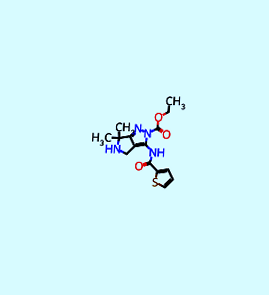 CCOC(=O)n1nc2c(c1NC(=O)c1cccs1)CNC2(C)C